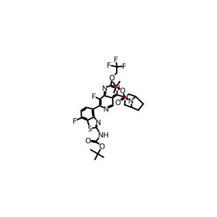 CC(C)(C)OC(=O)Nc1nc2c(-c3ncc4c(N5CC6CCC(C5)N6C(=O)OC(C)(C)C)nc(OCC(F)(F)F)nc4c3F)ccc(F)c2s1